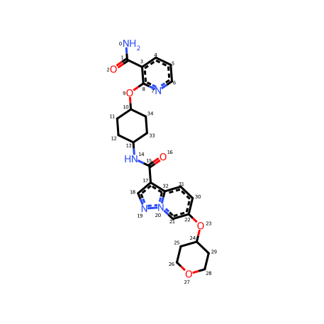 NC(=O)c1cccnc1OC1CCC(NC(=O)c2cnn3cc(OC4CCOCC4)ccc23)CC1